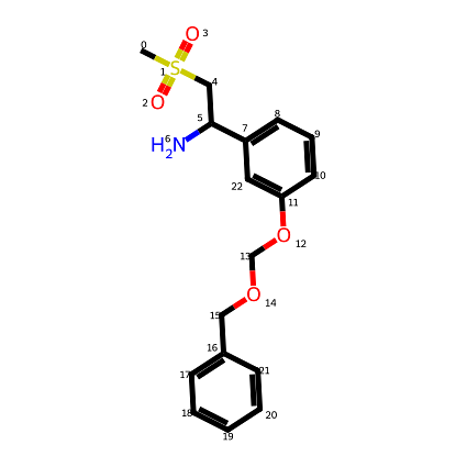 CS(=O)(=O)CC(N)c1cccc(OCOCc2ccccc2)c1